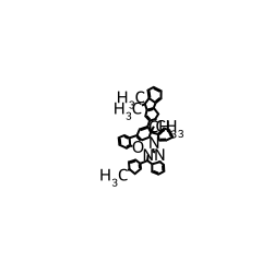 CC1C=CC(C2N=C(N3c4ccccc4C4(C)C(C5=CC6=C(CC5C)c5ccccc5C6(C)C)=Cc5c(oc6ccccc56)C34)N=C3C=CC=CC32)=CC1